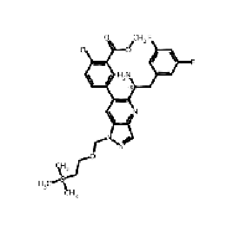 COC(=O)c1cc(-c2cc3c(cnn3COCCS(C)(C)C)nc2[C@@H](N)Cc2cc(F)cc(F)c2)ccc1Cl